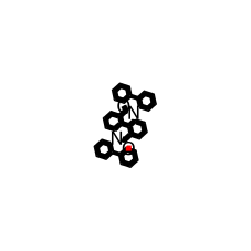 O=c1c2cccc3c2c2c(cccc2n1-c1ccccc1-c1ccccc1)c(=O)n3-c1ccccc1-c1ccccc1